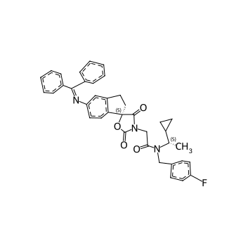 C[C@@H](C1CC1)N(Cc1ccc(F)cc1)C(=O)CN1C(=O)O[C@]2(CCc3cc(N=C(c4ccccc4)c4ccccc4)ccc32)C1=O